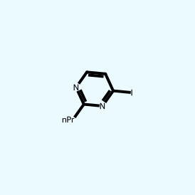 CCCc1nccc(I)n1